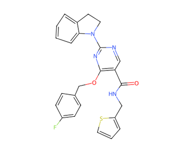 O=C(NCc1cccs1)c1cnc(N2CCc3ccccc32)nc1OCc1ccc(F)cc1